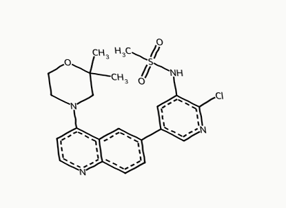 CC1(C)CN(c2ccnc3ccc(-c4cnc(Cl)c(NS(C)(=O)=O)c4)cc23)CCO1